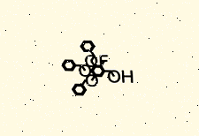 OCc1cc(OCc2ccccc2)c(OCc2ccccc2)c(OCc2ccccc2)c1F